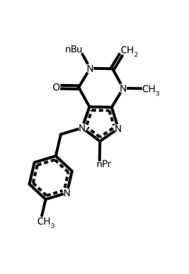 C=C1N(CCCC)C(=O)c2c(nc(CCC)n2Cc2ccc(C)nc2)N1C